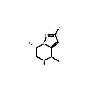 CC1NC[C@H](C)n2nc(Br)cc21